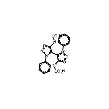 O=C(O)[N-]c1on[n+](-c2ccccc2)c1-c1c([N-]C(=O)O)on[n+]1-c1ccccc1